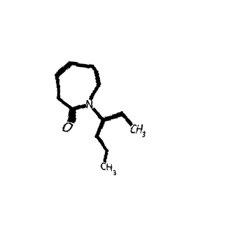 CCCC(CC)N1CCCCCC1=O